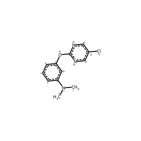 CN(C)c1cccc(Oc2ncc(Cl)cn2)c1